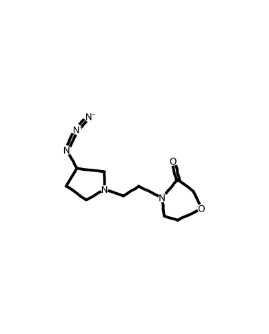 [N-]=[N+]=NC1CCN(CCN2CCOCC2=O)C1